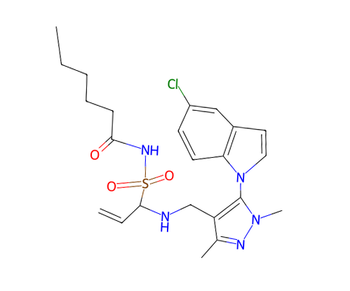 C=CC(NCc1c(C)nn(C)c1-n1ccc2cc(Cl)ccc21)S(=O)(=O)NC(=O)CCCCC